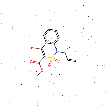 C=CCN1c2ccccc2C(O)=C(C(=O)OC)S1(=O)=O